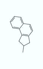 CC1Cc2ccc3ccccc3c2C1